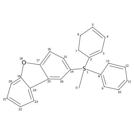 CS(C1=CC=CCC1)(c1ccccc1)c1ccc2oc3ccccc3c2c1